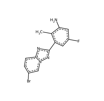 Cc1c(N)cc(F)cc1-c1nc2ccc(Br)cn2n1